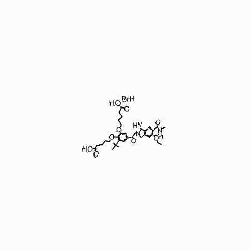 Br.CCOc1cc2c(cc1C(=O)NC)C(=N)N(CC(=O)c1cc(OCCCCC(=O)O)c(OCCCCC(=O)O)c(C(C)(C)C)c1)C2